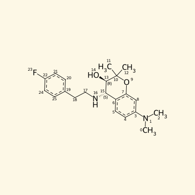 CN(C)c1ccc2c(c1)OC(C)(C)[C@H](O)[C@H]2NCCc1ccc(F)cc1